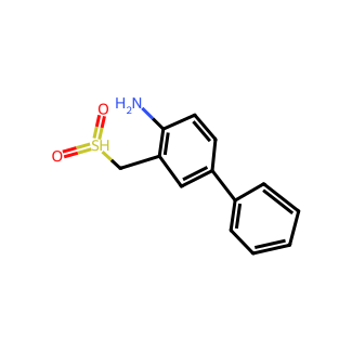 Nc1ccc(-c2ccccc2)cc1C[SH](=O)=O